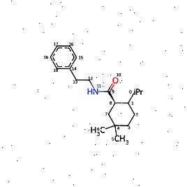 CC(C)C1CCC(C)(C)C[C@H]1C(=O)NCCc1ccccc1